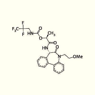 COCCN1C(=O)[C@@H](NC(=O)[C@H](C)OC(=O)NCC(F)(F)C(F)(F)F)c2ccccc2-c2ccccc21